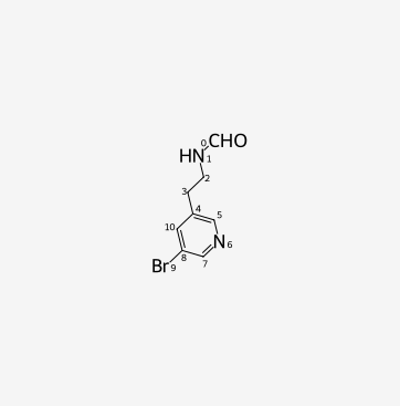 O=CNCCc1cncc(Br)c1